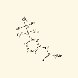 CNC(=O)Oc1cccc(C(C(F)(F)F)(C(F)(F)F)C(F)(F)C(F)(F)F)c1